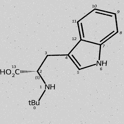 CC(C)(C)N[C@@H](Cc1c[nH]c2ccccc12)C(=O)O